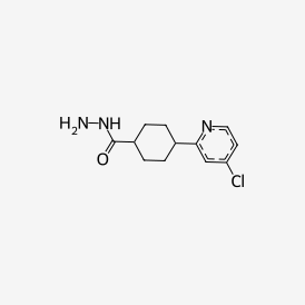 NNC(=O)C1CCC(c2cc(Cl)ccn2)CC1